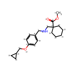 COC(=O)C1(CNCc2ccc(OCC3CC3)cc2)CCCCC1